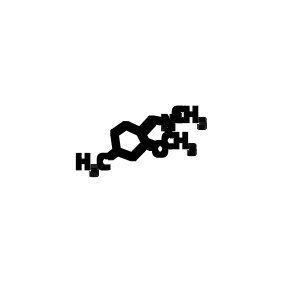 CC1CCC(=CN(C)C)C(=O)C1